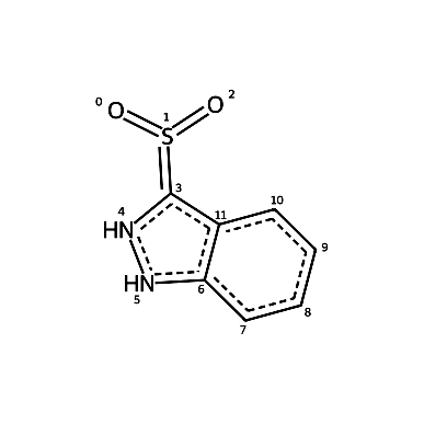 O=S(=O)=c1[nH][nH]c2ccccc12